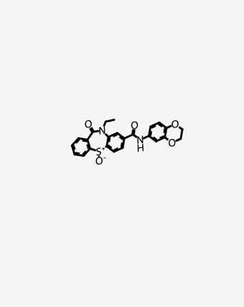 CCN1C(=O)c2ccccc2[S+]([O-])c2ccc(C(=O)Nc3ccc4c(c3)OCCO4)cc21